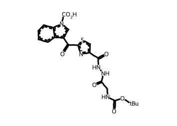 CC(C)(C)OC(=O)NCC(=O)NNC(=O)c1csc(C(=O)c2cn(C(=O)O)c3ccccc23)n1